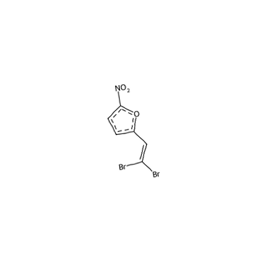 O=[N+]([O-])c1ccc(C=C(Br)Br)o1